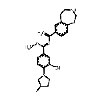 C=C(/N=C(\ON)c1ccc(N2CCC(F)C2)c(C#N)c1)c1ccc2c(c1)CCNCC2